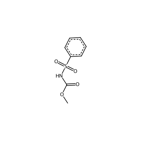 COC(=O)NS(=O)(=O)c1ccccc1